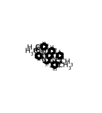 C[Si]1(C)c2ccccc2N(c2c3ccccc3c(N3c4ccccc4[Si](C)(C)c4ccccc43)c3ncccc23)c2ccccc21